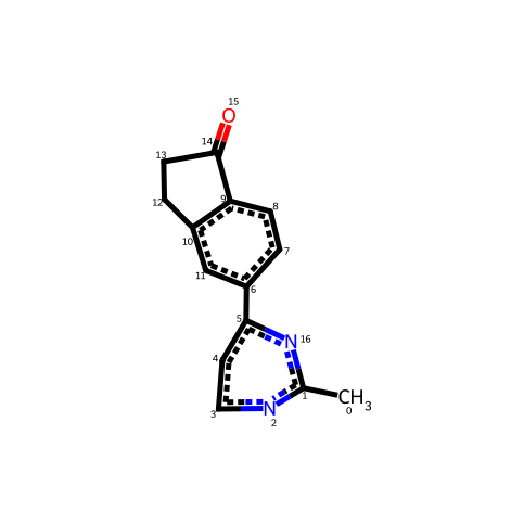 Cc1nccc(-c2ccc3c(c2)CCC3=O)n1